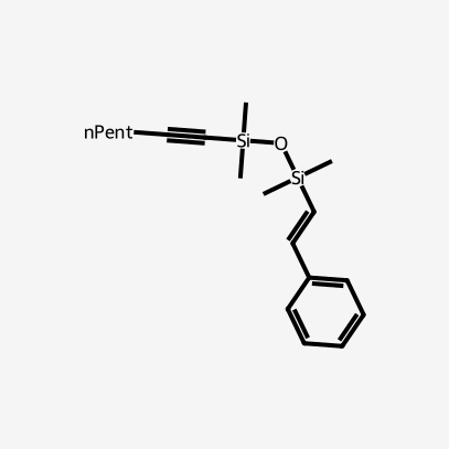 CCCCCC#C[Si](C)(C)O[Si](C)(C)C=Cc1ccccc1